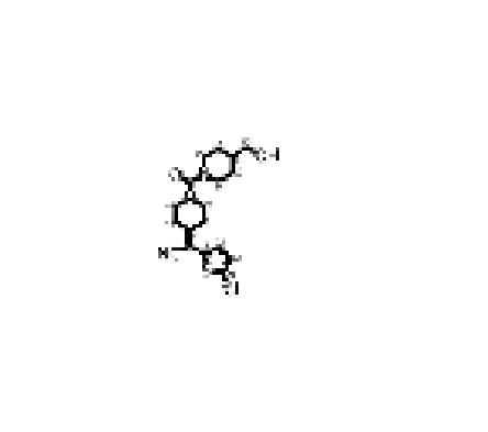 N#CC(=C1CCN(C(=O)N2CCC(CO)CC2)CC1)c1ccc(Cl)s1